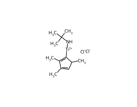 CC1=CC(C)[C]([Ti+2][NH]C(C)(C)C)=C1C.[Cl-].[Cl-]